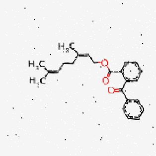 CC(C)=CCCC(C)=CCOC(=O)c1ccccc1C(=O)c1ccccc1